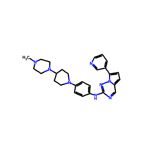 CN1CCN(C2CCN(c3ccc(Nc4ncc5ccc(-c6cccnc6)n5n4)cc3)CC2)CC1